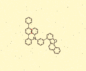 c1ccc(-c2ccc(-c3ccccc3N(c3ccccc3)c3cccc(-c4cccc5oc6c7ccccc7ccc6c45)c3)cc2)cc1